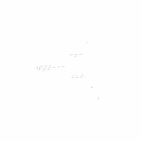 N#Cc1cc([O])cc(C(F)(F)F)c1